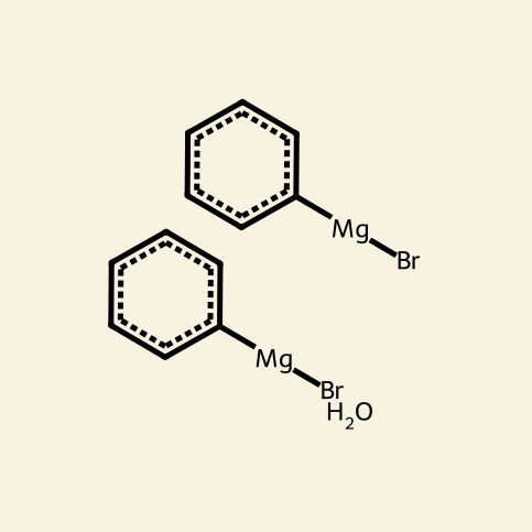 O.[Br][Mg][c]1ccccc1.[Br][Mg][c]1ccccc1